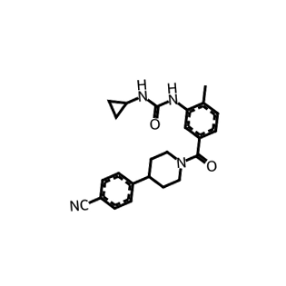 Cc1ccc(C(=O)N2CCC(c3ccc(C#N)cc3)CC2)cc1NC(=O)NC1CC1